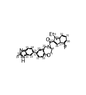 CCN1C(C(=O)N2CCOc3ccc(-c4ccc5nc(C)[nH]c5c4)cc3C2)=CC2C(F)=CC=CC21